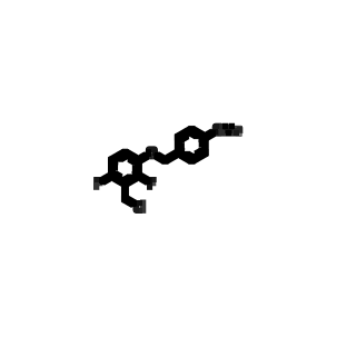 COc1ccc(COc2ccc(F)c(CCl)c2F)cc1